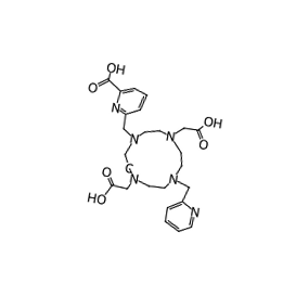 O=C(O)CN1CCN(Cc2ccccn2)CCN(CC(=O)O)CCN(Cc2cccc(C(=O)O)n2)CC1